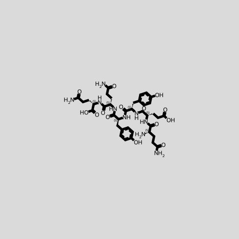 NC(=O)CC[C@H](NC(=O)[C@H](CCC(N)=O)NC(=O)[C@H](Cc1ccc(O)cc1)NC(=O)[C@H](Cc1ccc(O)cc1)NC(=O)[C@H](CCC(=O)O)NC(=O)[C@@H](N)CCC(N)=O)C(=O)O